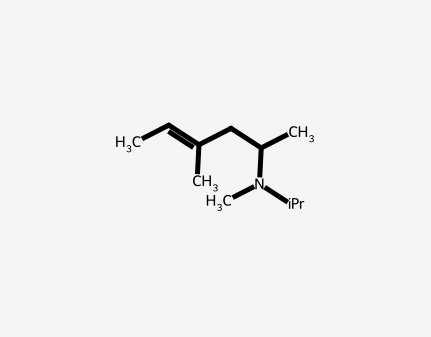 C/C=C(\C)CC(C)N(C)C(C)C